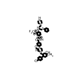 CC1(C)CCC(c2ccc(Cl)cc2)=C(CN2CCN3c4ccc(C(=O)NS(=O)(=O)c5ccc(N[C@H](CCN6CCNCC6)CSc6ccccc6)c(S(=O)(=O)C(F)(F)F)c5)cc4OC[C@@H]3C2)C1